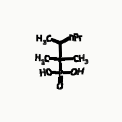 CCCC(C)C(C)(C)P(=O)(O)O